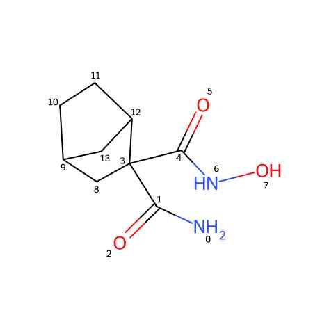 NC(=O)C1(C(=O)NO)CC2CCC1C2